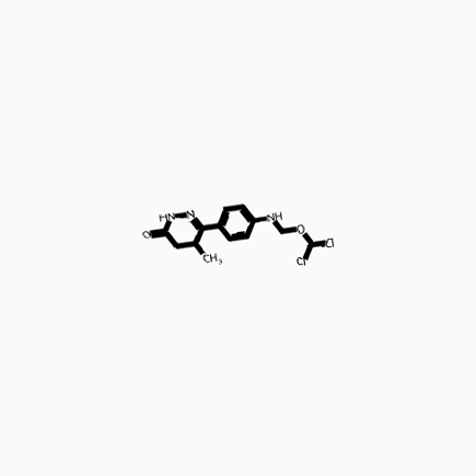 CC1CC(=O)NN=C1c1ccc(NCOC(Cl)Cl)cc1